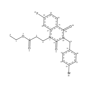 CCOC(=O)CCn1c(=O)n(Cc2ccc(Br)cc2)c(=O)c2ccc(F)cc21